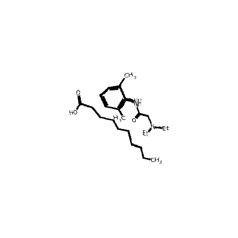 CCCCCCCCCC(=O)O.CCN(CC)CC(=O)Nc1c(C)cccc1C